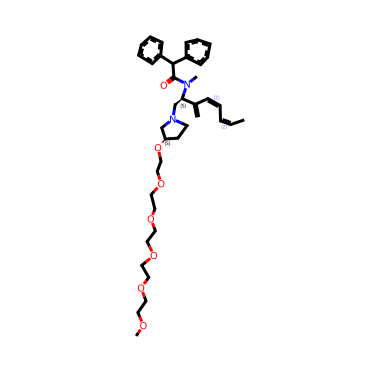 C=C(/C=C\C=C/C)[C@@H](CN1CC[C@H](OCCOCCOCCOCCOCCOC)C1)N(C)C(=O)C(c1ccccc1)c1ccccc1